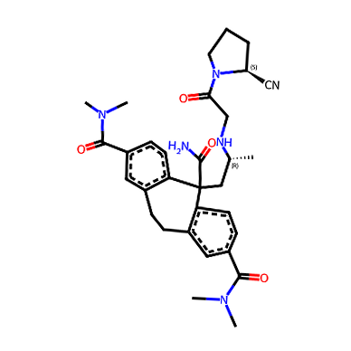 C[C@H](CC1(C(N)=O)c2ccc(C(=O)N(C)C)cc2CCc2cc(C(=O)N(C)C)ccc21)NCC(=O)N1CCC[C@H]1C#N